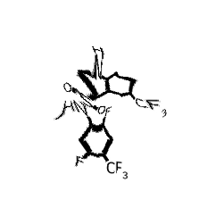 O=S(=O)(Nc1cc(F)c(C(F)(F)F)cc1F)c1c[nH]c2c1CC(C(F)(F)F)CC2